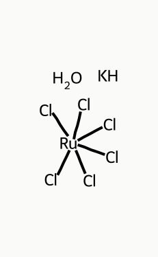 O.[Cl][Ru]([Cl])([Cl])([Cl])([Cl])[Cl].[KH]